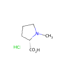 CN1CCC[C@H]1C(=O)O.Cl